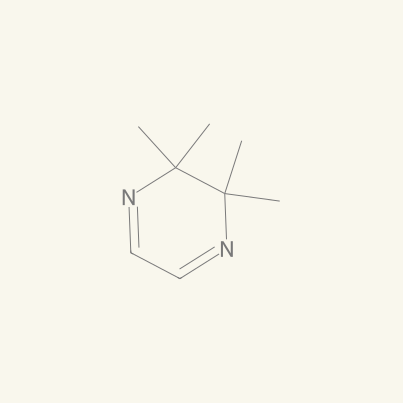 CC1(C)N=CC=NC1(C)C